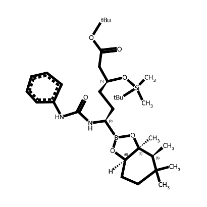 C[C@H]1C(C)(C)CC[C@H]2OB([C@H](CC[C@@H](CC(=O)OC(C)(C)C)O[Si](C)(C)C(C)(C)C)NC(=O)Nc3ccccc3)O[C@]21C